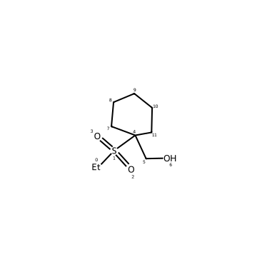 CCS(=O)(=O)C1(CO)CCCCC1